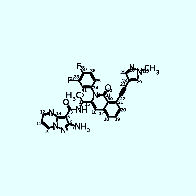 CC(NC(=O)c1c(N)nn2cccnc12)c1cc2cccc(C#Cc3cnn(C)c3)c2c(=O)n1-c1ccc(F)c(F)c1